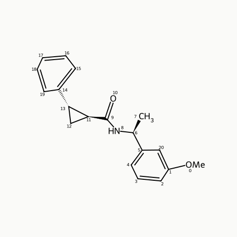 COc1cccc([C@H](C)NC(=O)[C@H]2C[C@@H]2c2ccccc2)c1